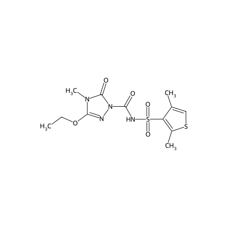 CCOc1nn(C(=O)NS(=O)(=O)c2c(C)csc2C)c(=O)n1C